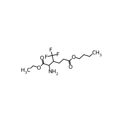 CCCCOC(=O)CCC(C(N)C(=O)OCC)C(F)(F)F